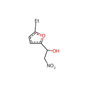 CCc1ccc(C(O)C[N+](=O)[O-])o1